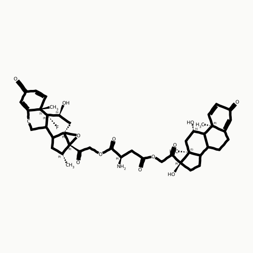 C[C@@H]1CC2C3CCC4=CC(=O)C=C[C@]4(C)[C@@]3(F)[C@@H](O)C[C@@]23O[C@]13C(=O)COC(=O)[C@H](N)CC(=O)OCC(=O)[C@@]1(O)CCC2C3CCC4=CC(=O)C=C[C@]4(C)C3[C@@H](O)C[C@@]21C